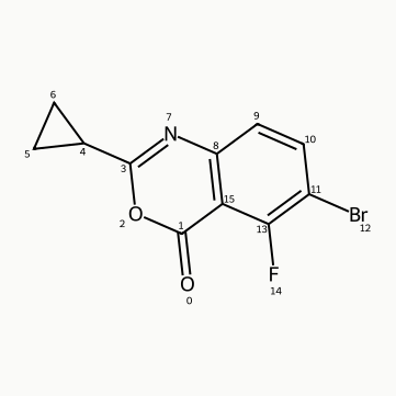 O=c1oc(C2CC2)nc2ccc(Br)c(F)c12